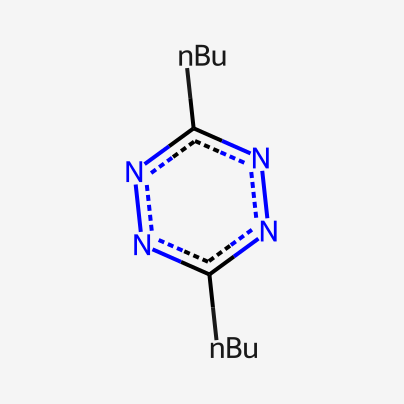 CCCCc1nnc(CCCC)nn1